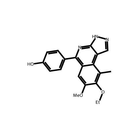 CCOc1c(OC)cc2c(-c3ccc(O)cc3)nc3[nH]ncc3c2c1C